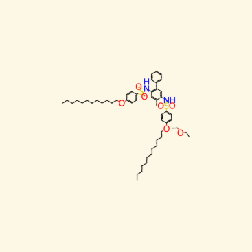 CCCCCCCCCCCCOc1ccc(S(=O)(=O)Nc2cc(-c3ccccc3)c(NS(=O)(=O)c3ccc(OCCCCCCCCCCCC)cc3)cc2C)cc1.CCOCC